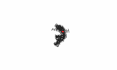 COc1c(N2CCN(C(=O)OC(C)(C)C)C(C)C2)c(F)cc2c(=O)c(C(=O)OCC(=O)[C@]3(O)CC[C@@H]4[C@H]5CCC6=CC(=O)CC[C@@]6(C)[C@@H]5[C@H](O)C[C@]43C)cn(C3CC3)c12